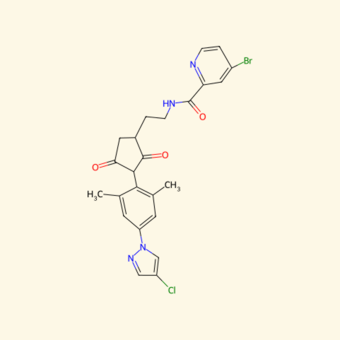 Cc1cc(-n2cc(Cl)cn2)cc(C)c1C1C(=O)CC(CCNC(=O)c2cc(Br)ccn2)C1=O